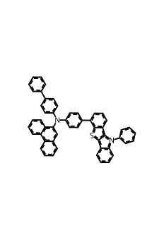 c1ccc(-c2ccc(N(c3ccc(-c4cccc5c4sc4c6ccccc6n(-c6ccccc6)c54)cc3)c3cc4ccccc4c4ccccc34)cc2)cc1